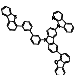 c1cc(-c2cccc(-n3c4ccc(-c5cccc6c5oc5ccccc56)cc4c4cc(-n5c6ccccc6c6cccnc65)ccc43)c2)cc(-c2cccc3c2sc2ccccc23)c1